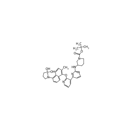 Cc1ccc2c(N3CCCS3(O)O)cccc2c1Oc1ncccc1-c1ccnc(NC2CCCN(C(=O)OC(C)(C)C)C2)n1